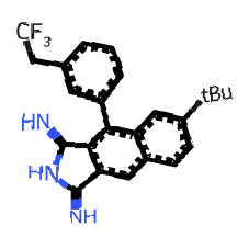 CC(C)(C)c1ccc2cc3c(c(-c4cccc(CC(F)(F)F)c4)c2c1)C(=N)NC3=N